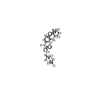 CC(C(=O)OCCN1CCN(C)CC1)c1ccc2c(c1)Cc1cccnc1O2